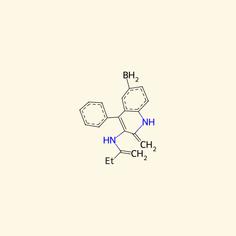 Bc1ccc2c(c1)C(c1ccccc1)=C(NC(=C)CC)C(=C)N2